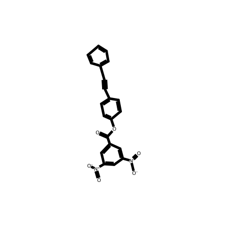 O=C(Oc1ccc(C#Cc2ccccc2)cc1)c1cc([N+](=O)[O-])cc([N+](=O)[O-])c1